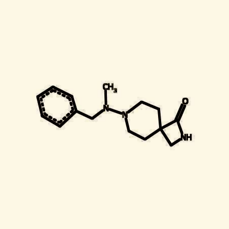 CN(Cc1ccccc1)N1CCC2(CC1)CNC2=O